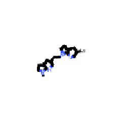 CCc1cnc2c(ccn2CCc2cnc3c(ccn3C)c2)c1